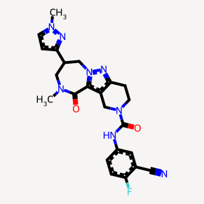 CN1CC(c2ccn(C)n2)Cn2nc3c(c2C1=O)CN(C(=O)Nc1ccc(F)c(C#N)c1)CC3